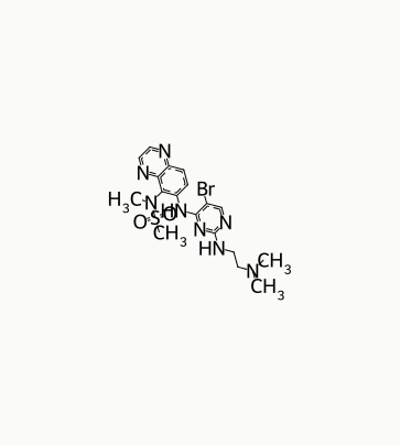 CN(C)CCNc1ncc(Br)c(Nc2ccc3nccnc3c2N(C)S(C)(=O)=O)n1